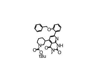 Cn1c(=O)[nH]c2nc(-c3ccccc3OCc3ccccc3)cc(C3CCCN(C(=O)OC(C)(C)C)C3)c2c1=O